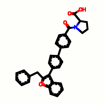 O=C(O)C1CCCN1C(=O)c1ccc(-c2ccc(-c3c(Cc4ccccc4)oc4ccccc34)cc2)cc1